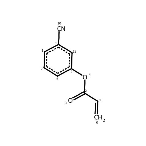 C=CC(=O)Oc1cccc(C#N)c1